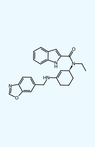 CCN(C(=O)c1cc2ccccc2[nH]1)[C@@H]1C=C(NCc2ccc3ncoc3c2)CCC1